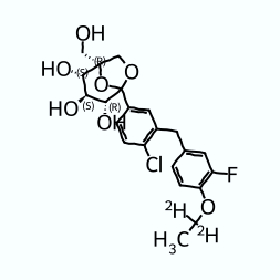 [2H]C([2H])(C)Oc1ccc(Cc2cc(C34OC[C@@](CO)(O3)[C@@H](O)[C@H](O)[C@H]4O)ccc2Cl)cc1F